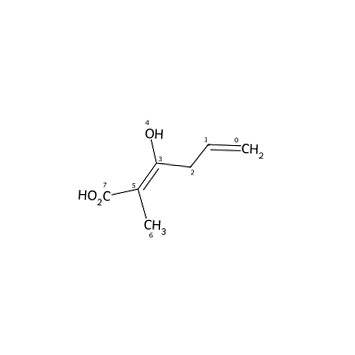 C=CCC(O)=C(C)C(=O)O